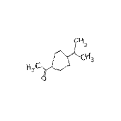 CC(=O)C1CCC(C(C)C)CC1